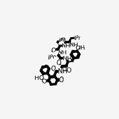 CC(C)C[C@H](NC(=O)[C@@H](N)CC(C)C)C(=O)N[C@H](C(=O)N[C@@H](Cc1ccc(O)cc1)C(=O)CNC(=O)C1=C(c2ccccc2O)C(=O)CCC1=O)C(C)C